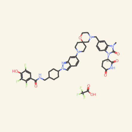 Cn1c(=O)n([C@@H]2CCC(=O)NC2=O)c2ccc(CN3CCOC4(CCN(c5ccc6cn(C7CCC(CNC(=O)c8cc(F)c(O)c(F)c8F)CC7)nc6c5)CC4)C3)cc21.O=C(O)C(F)(F)F